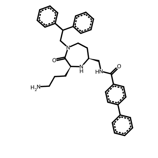 NCCC[C@@H]1N[C@H](CNC(=O)c2ccc(-c3ccccc3)cc2)CCN(CC(c2ccccc2)c2ccccc2)C1=O